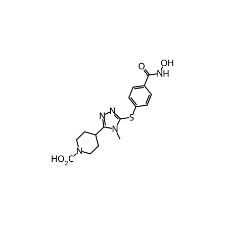 Cn1c(Sc2ccc(C(=O)NO)cc2)nnc1C1CCN(C(=O)O)CC1